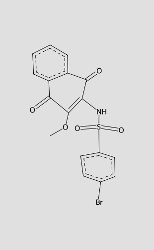 COC1=C(NS(=O)(=O)c2ccc(Br)cc2)C(=O)c2ccccc2C1=O